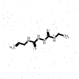 C=CCNC(=S)NNC(=S)NCC